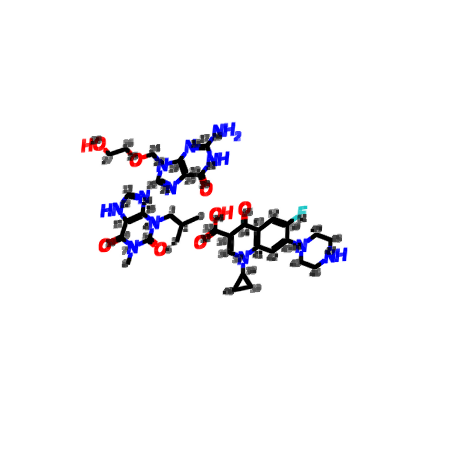 CC(C)Cn1c(=O)n(C)c(=O)c2[nH]cnc21.Nc1nc2c(ncn2COCCO)c(=O)[nH]1.O=C(O)c1cn(C2CC2)c2cc(N3CCNCC3)c(F)cc2c1=O